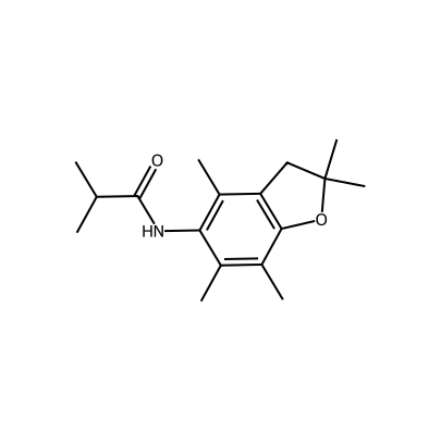 Cc1c(C)c2c(c(C)c1NC(=O)C(C)C)CC(C)(C)O2